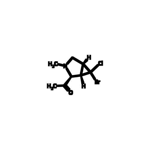 CC(=O)[C@@H]1[C@@H]2[C@H](CN1C)C2(Cl)Br